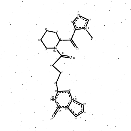 Cn1cncc1C(=O)C1CCCCN1C(=O)CCCc1cn2cccc2c(=O)[nH]1